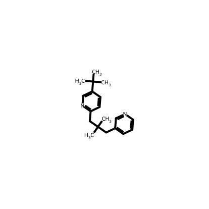 CC(C)(Cc1cccnc1)Cc1ccc(C(C)(C)C)cn1